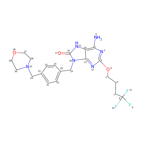 Nc1nc(OCCCC(F)(F)F)nc2c1[nH]c(=O)n2Cc1ccc(CN2CCOCC2)cc1